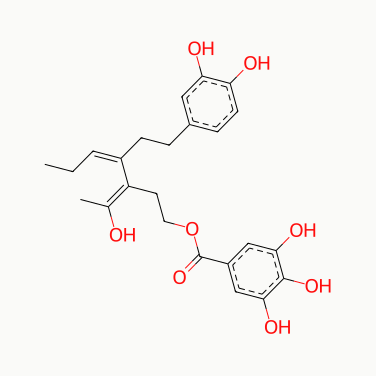 CC/C=C(CCc1ccc(O)c(O)c1)\C(CCOC(=O)c1cc(O)c(O)c(O)c1)=C(/C)O